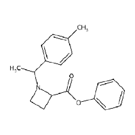 Cc1ccc(C(C)N2CCC2C(=O)Oc2ccccc2)cc1